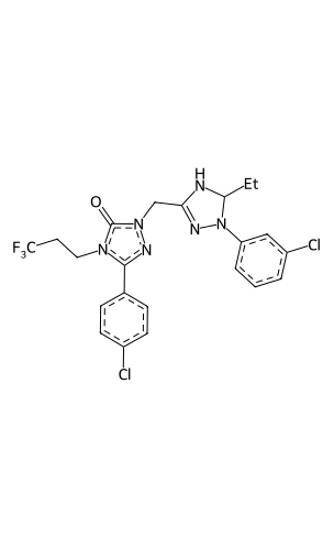 CCC1NC(Cn2nc(-c3ccc(Cl)cc3)n(CCC(F)(F)F)c2=O)=NN1c1cccc(Cl)c1